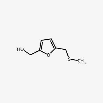 CSCc1ccc(CO)o1